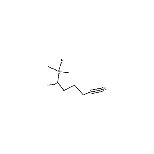 CC(CCCC#N)S(C)(C)F